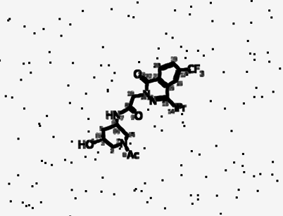 CC(=O)N1C[C@@H](O)C[C@@H](NC(=O)Cn2nc(C(C)C)c3cc(C(F)(F)F)ccc3c2=O)C1